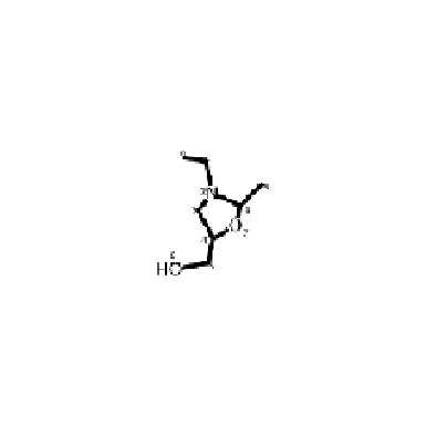 CCN1CC(CO)OC1C